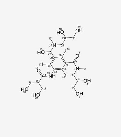 CN(CC(O)CO)C(=O)c1c(I)c(NC(=O)C(CO)CO)c(I)c(C(O)N(C)CC(O)CO)c1I